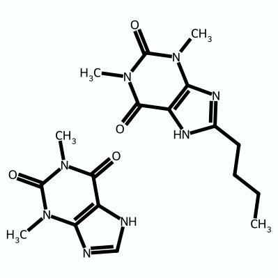 CCCCc1nc2c([nH]1)c(=O)n(C)c(=O)n2C.Cn1c(=O)c2[nH]cnc2n(C)c1=O